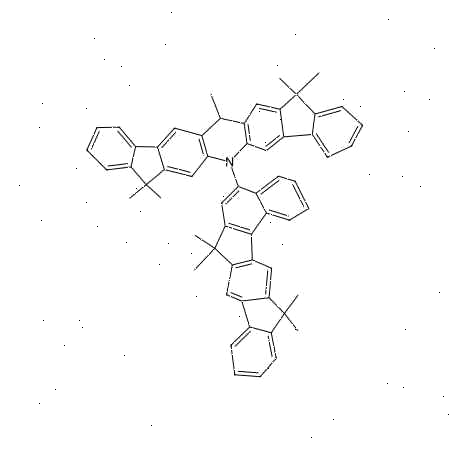 CC1c2cc3c(cc2N(c2cc4c(c5ccccc25)-c2cc5c(cc2C4(C)C)-c2ccccc2C5(C)C)c2cc4c(cc21)-c1ccccc1C4(C)C)-c1ccccc1C3(C)C